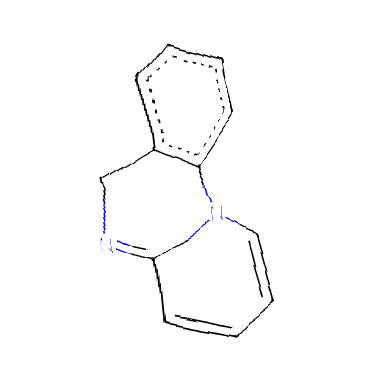 C1=CC2=NCc3ccccc3N2C=C1